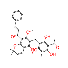 COc1c2c(c(C(=O)C=Cc3ccccc3)c(OC)c1Cc1c(O)c(C)c(O)c(C(C)=O)c1O)OC(C)(C)C=C2